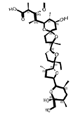 CC[C@@]1([C@@H]2OC(C3O[C@@](O)(CO)[C@H](C)C[C@@H]3C)C[C@@H]2C)CC[C@H]([C@]2(C)CC[C@@]3(C[C@H](O)[C@@H](C)C([C@@H](C)[C@@H](OC)[C@H](C)C(=O)O)O3)O2)O1